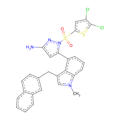 Cn1cc(Cc2ccc3ccccc3c2)c2c(-c3cc(N)nn3S(=O)(=O)c3cc(Cl)c(Cl)s3)cccc21